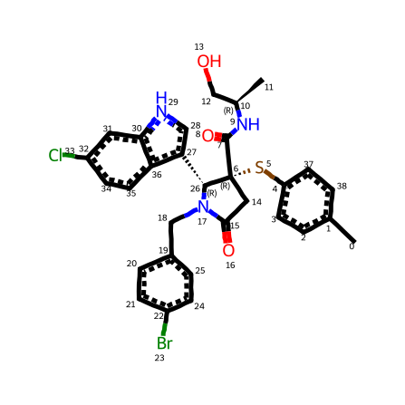 Cc1ccc(S[C@]2(C(=O)N[C@H](C)CO)CC(=O)N(Cc3ccc(Br)cc3)[C@@H]2c2c[nH]c3cc(Cl)ccc23)cc1